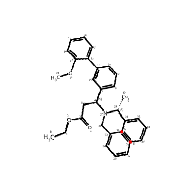 CCOC(=O)C[C@@H](c1cccc(-c2ccccc2OC)c1)N(Cc1ccccc1)[C@H](C)c1ccccc1